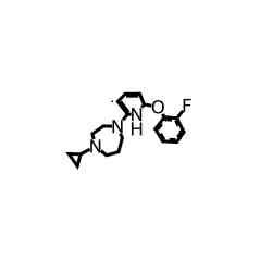 Fc1ccccc1OC1C=C[C]=C(N2CCCN(C3CC3)CC2)N1